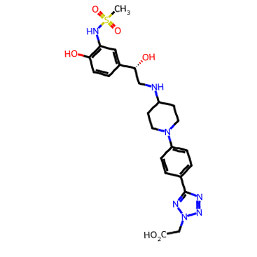 CS(=O)(=O)Nc1cc([C@H](O)CNC2CCN(c3ccc(-c4nnn(CC(=O)O)n4)cc3)CC2)ccc1O